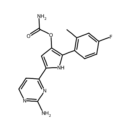 Cc1cc(F)ccc1-c1[nH]c(-c2ccnc(N)n2)cc1OC(N)=O